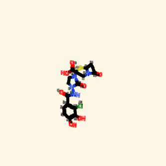 O=C(NN1CCN(C2(C(=O)O)CN3C(=O)CC3S2)C1=O)c1ccc(O)c(O)c1Cl